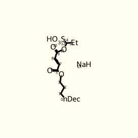 CCCCCCCCCCCCCOC(=O)C=CC(=O)OC(CC)S(=O)(=O)O.[NaH]